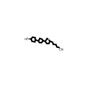 CCCC1CCC(C2CCC(C3CCC(CCCCCC#N)CC3)CC2)CC1